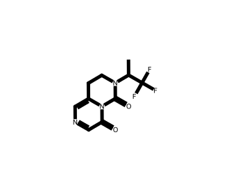 CC(N1CCc2cncc(=O)n2C1=O)C(F)(F)F